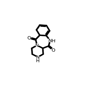 O=C1NC2=CC=CCC2C(=O)N2CCNCC12